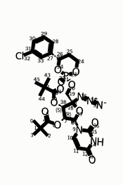 CC(C)(C)C(=O)O[C@H]1[C@H](n2ccc(=O)[nH]c2=O)O[C@@](COP2(=O)OCC[C@@H](c3cccc(Cl)c3)O2)(N=[N+]=[N-])[C@H]1OC(=O)C(C)(C)C